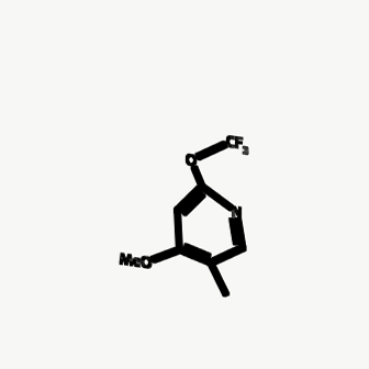 COc1cc(OC(F)(F)F)ncc1C